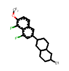 CCC1CCC2CC(c3cc(F)c4c(F)c(OC(F)(F)F)ccc4c3)CCC2C1